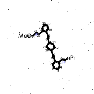 CCC/C=C/c1ccccc1C#Cc1ccc(C#Cc2ccccc2/C=C/COC)cc1